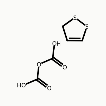 C1=CSSC1.O=C(O)OC(=O)O